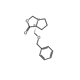 O=C1OCN2CCC[C@@]12COCc1ccccc1